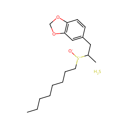 CCCCCCCC[S+]([O-])C(C)Cc1ccc2c(c1)OCO2.S